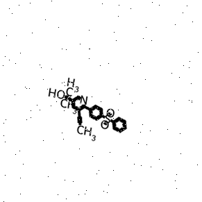 CC#Cc1cc([C@](C)(O)C(F)(F)F)cnc1-c1ccc(S(=O)(=O)c2ccccc2)cc1